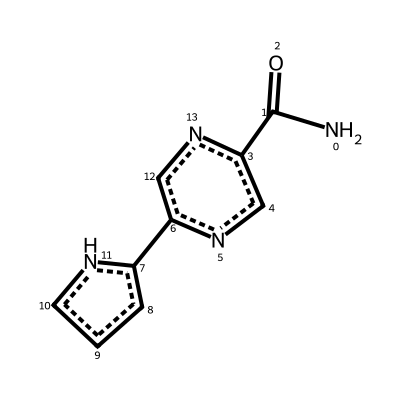 NC(=O)c1cnc(-c2ccc[nH]2)cn1